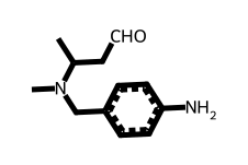 CC(CC=O)N(C)Cc1ccc(N)cc1